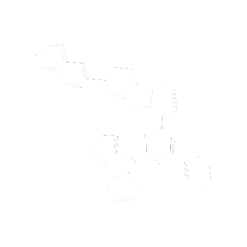 c1ccc(-c2nc(-c3cccc4c3oc3cc(-c5ccc6ccccc6c5)ccc34)nc(-n3c4ccccc4c4ccccc43)n2)cc1